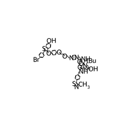 Cc1ncsc1-c1ccc(CNC(=O)[C@@H]2C[C@@H](O)CN2C(=O)C(NC(=O)CN2CCN(CCOCCOc3ccc(Oc4c(-c5ccc(Br)cc5)sc5cc(O)ccc45)cc3)CC2)C(C)(C)C)cc1